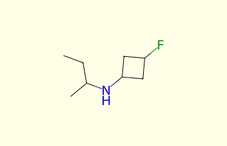 CCC(C)NC1CC(F)C1